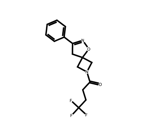 O=C(CCC(F)(F)F)N1CC2(CC(c3ccccc3)=NO2)C1